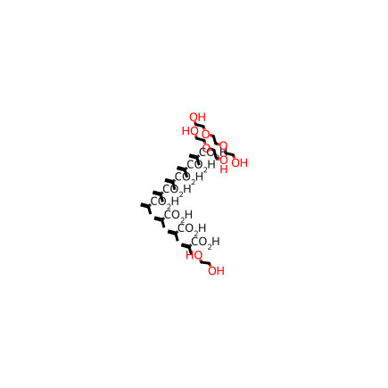 C=C(C)C(=O)O.C=C(C)C(=O)O.C=C(C)C(=O)O.C=C(C)C(=O)O.C=C(C)C(=O)O.C=C(C)C(=O)O.C=C(C)C(=O)O.C=C(C)C(=O)O.OCCO.OCCOCCO.OCCOCCOCCO